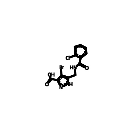 O=C(NCc1[nH]nc(C(=O)O)c1Br)c1ccccc1Cl